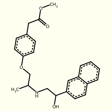 COC(=O)Cc1ccc(OCC(C)NCC(O)c2ccc3ccccc3c2)cc1